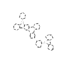 c1ccc(-n2c3ccccc3c3cc4c5ccc(-c6cccc(-n7c8ccccc8c8ccccc87)c6)cc5c5ccccc5c4cc32)cc1